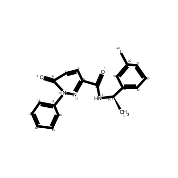 C[C@@H](NC(=O)c1ccc(=O)n(-c2ccccc2)n1)c1cccc(I)c1